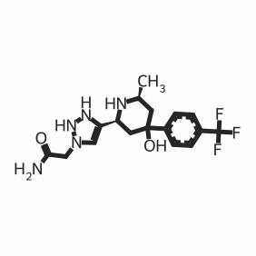 C[C@H]1CC(O)(c2ccc(C(F)(F)F)cc2)C[C@@H](C2=CN(CC(N)=O)NN2)N1